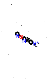 [C-]#[N+]c1ccc(C(C)(c2ccc(OCc3ccccn3)cn2)C(C)C)cc1